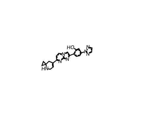 Oc1cc(-n2nccn2)ccc1-c1cn2ccc(C3=CCNC4(CC4)C3)nc2n1